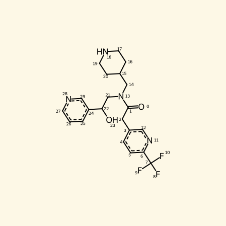 O=C(Cc1ccc(C(F)(F)F)nc1)N(CC1CCNCC1)CC(O)c1cccnc1